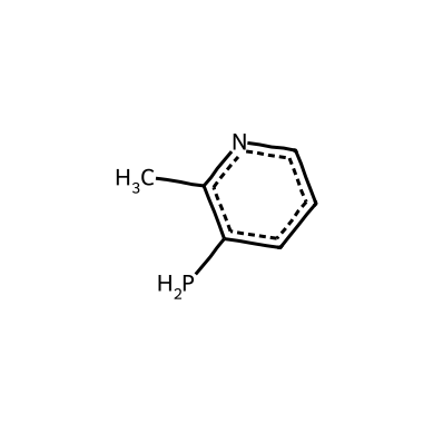 Cc1ncccc1P